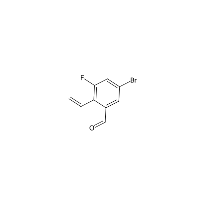 C=Cc1c(F)cc(Br)cc1C=O